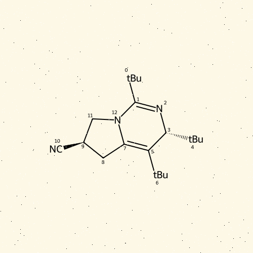 CC(C)(C)C1=N[C@H](C(C)(C)C)C(C(C)(C)C)=C2C[C@@H](C#N)CN12